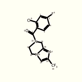 O=C(c1ccc(F)cc1Cl)N1CCn2cc(C(F)(F)F)nc2C1